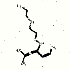 C/C=C\C(=C=C(C)C)NOCCNCCN